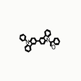 c1ccc(-n2c3ccccc3c3cc(-c4ccc5c(c4)c4ccccc4n5-c4coc5ccccc45)ccc32)cc1